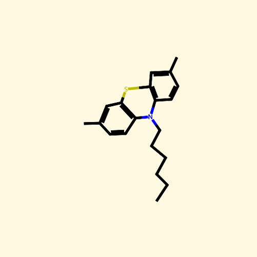 CCCCCCN1c2ccc(C)cc2Sc2cc(C)ccc21